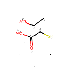 CCO.O=C(O)CS